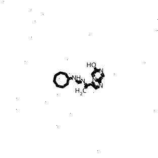 C=C(/N=C/NC1CCCCCCC1)c1cnc2cnc(O)cn12